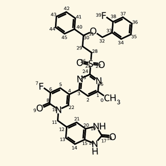 Cc1cc(-c2cc(F)c(=O)n(Cc3ccc4[nH]c(=O)[nH]c4c3)c2)nc(S(=O)(=O)CCC(OCc2ccccc2F)c2ccccc2)n1